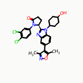 Cc1noc(C)c1-c1ccc2c(c1)nc([C@@H]1CCC(=O)N1c1ccc(Cl)c(Cl)c1)n2C1CCC(O)CC1